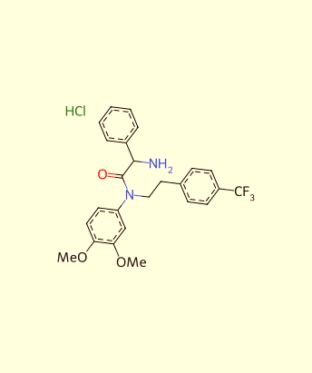 COc1ccc(N(CCc2ccc(C(F)(F)F)cc2)C(=O)C(N)c2ccccc2)cc1OC.Cl